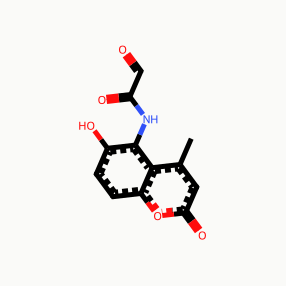 Cc1cc(=O)oc2ccc(O)c(NC(=O)C=O)c12